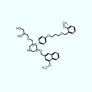 COc1ccccc1COCCCOc1ccc([C@H]2[C@H](COCC(O)CO)CNC[C@@H]2OCc2cc(OC)c3ccccc3c2)cc1